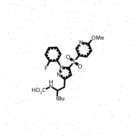 COc1ccc(S(=O)(=O)c2cc(CC(NC(=O)O)C(C)(C)C)nn2-c2ccccc2F)cn1